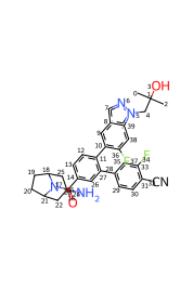 CC(C)(O)Cn1ncc2cc(-c3ccc(C(=O)N4C5CCC4CC(N)C5)cc3-c3ccc(C#N)c(F)c3)c(F)cc21